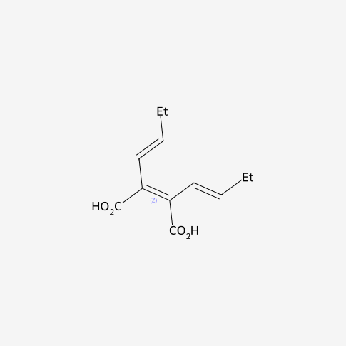 CCC=C/C(C(=O)O)=C(\C=CCC)C(=O)O